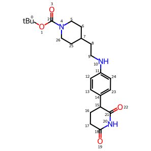 CC(C)(C)OC(=O)N1CCC(CCNc2ccc(C3CCC(=O)NC3=O)cc2)CC1